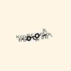 CCC(C)(C)Oc1ccc(C(C)(CC(C)C)c2ccc(OC(=O)C(C)(C)CC)cc2)cc1